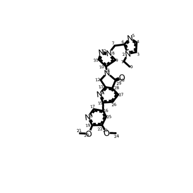 CCn1ccnc1Cn1cc(N2Cc3nc(-c4cnc(OC)c(OC)c4)ccc3C2=O)cn1